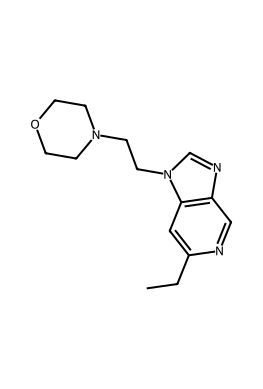 CCc1cc2c(cn1)ncn2CCN1CCOCC1